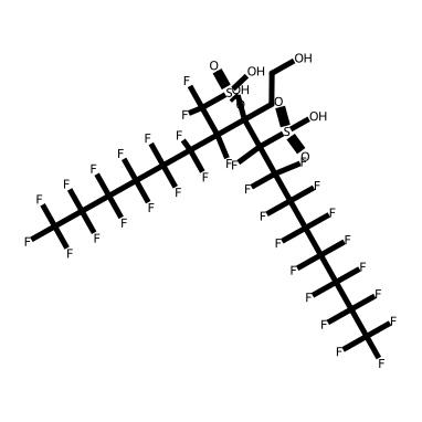 O=S(=O)(O)C(F)(F)C(F)(C(F)(F)C(F)(F)C(F)(F)C(F)(F)C(F)(F)C(F)(F)F)C(O)(CCO)C(F)(C(F)(F)C(F)(F)C(F)(F)C(F)(F)C(F)(F)C(F)(F)C(F)(F)F)S(=O)(=O)O